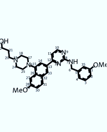 COc1cccc(CNc2nccc(-c3cc(N4CCN(CCCO)CC4)c4cc(OC)ccc4c3)n2)c1